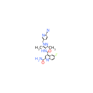 Cc1nn(Cc2ccc(C#N)nc2)c(C)c1NC(=O)c1cc(C(N)=O)nc2ccc(F)cc12